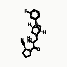 N#C[C@@H]1CCCN1C(=O)[C@@H](N)CN1C[C@@H]2C[C@H]1CN2c1cccc(F)c1